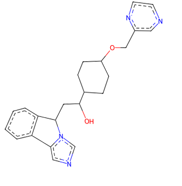 OC(CC1c2ccccc2-c2cncn21)C1CCC(OCc2cnccn2)CC1